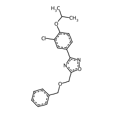 CC(C)Oc1ccc(-c2noc(COCc3ccccc3)n2)cc1Cl